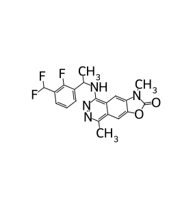 Cc1nnc(NC(C)c2cccc(C(F)F)c2F)c2cc3c(cc12)oc(=O)n3C